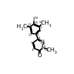 Cc1cc(-c2ccc(=O)n(C)n2)cc(C)c1I